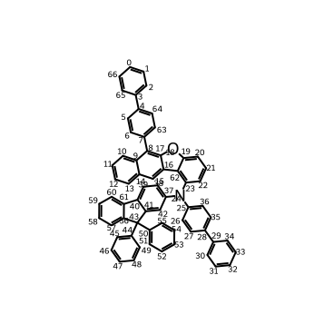 c1ccc(-c2ccc(-c3c4ccccc4cc4c3oc3cccc(N(c5ccc(-c6ccccc6)cc5)c5ccc6c(c5)C(c5ccccc5)(c5ccccc5)c5ccccc5-6)c34)cc2)cc1